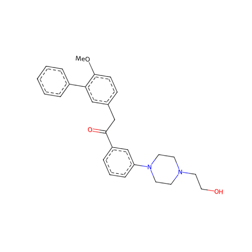 COc1ccc(CC(=O)c2cccc(N3CCN(CCO)CC3)c2)cc1-c1ccccc1